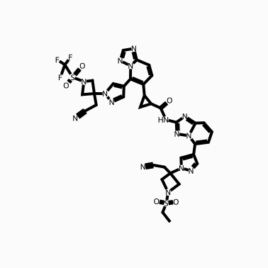 CCS(=O)(=O)N1CC(CC#N)(n2cc(-c3cccc4nc(NC(=O)C5CC5c5ccc6ncnn6c5-c5cnn(C6(CC#N)CN(S(=O)(=O)C(F)(F)F)C6)c5)nn34)cn2)C1